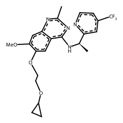 COc1cc2nc(C)nc(N[C@H](C)c3cc(C(F)(F)F)ccn3)c2cc1OCCOC1CC1